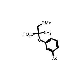 COCC(C)(Oc1cccc(C(C)=O)c1)C(=O)O